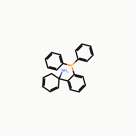 NC1(c2ccccc2P(c2ccccc2)c2ccccc2)C=CC=CC1